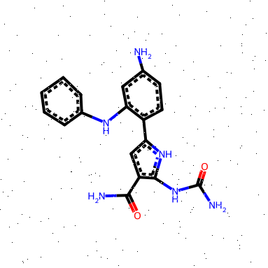 NC(=O)Nc1[nH]c(-c2ccc(N)cc2Nc2ccccc2)cc1C(N)=O